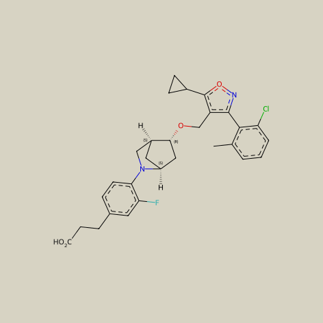 Cc1cccc(Cl)c1-c1noc(C2CC2)c1CO[C@@H]1C[C@@H]2C[C@H]1CN2c1ccc(CCC(=O)O)cc1F